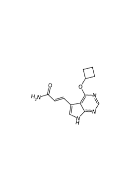 NC(=O)/C=C/c1c[nH]c2ncnc(OC3CCC3)c12